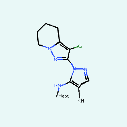 CCCCCCCNc1c(C#N)cnn1-c1nn2c(c1Cl)CCCC2